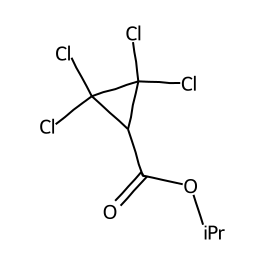 CC(C)OC(=O)C1C(Cl)(Cl)C1(Cl)Cl